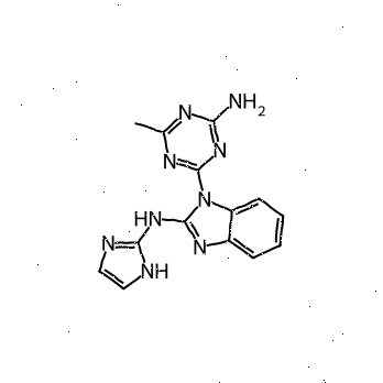 Cc1nc(N)nc(-n2c(Nc3ncc[nH]3)nc3ccccc32)n1